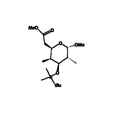 COC(=O)C[C@H]1O[C@H](OC)[C@H](C)[C@@H](O[Si](C)(C)C(C)(C)C)[C@H]1C